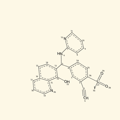 C#Cc1cc(C(Nc2ccccn2)c2ccc3cccnc3c2O)ccc1S(=O)(=O)F